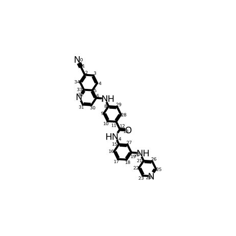 N#Cc1ccc2c(Nc3ccc(C(=O)Nc4cccc(Nc5ccncc5)c4)cc3)ccnc2c1